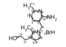 Br.Cc1ncc(C[n+]2csc(CCO)c2C)c(N)n1